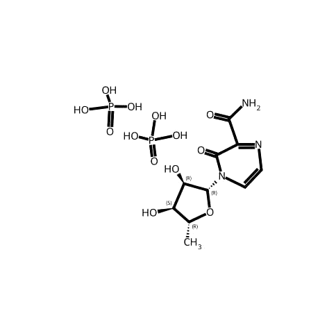 C[C@H]1O[C@@H](n2ccnc(C(N)=O)c2=O)[C@H](O)[C@@H]1O.O=P(O)(O)O.O=P(O)(O)O